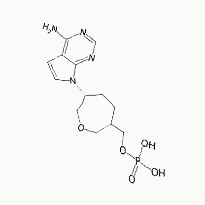 Nc1ncnc2c1ccn2[C@@H]1CCC(COP(=O)(O)O)COC1